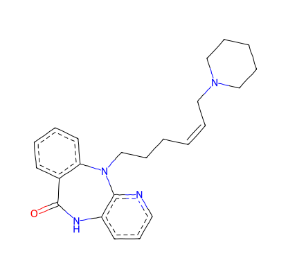 O=C1Nc2cccnc2N(CCC/C=C\CN2CCCCC2)c2ccccc21